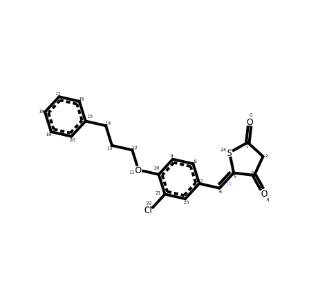 O=C1CC(=O)/C(=C/c2ccc(OCCCc3ccccc3)c(Cl)c2)S1